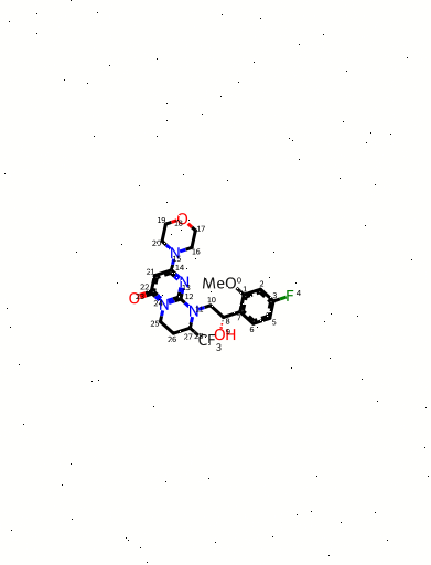 COc1cc(F)ccc1[C@H](O)CN1c2nc(N3CCOCC3)cc(=O)n2CCC1C(F)(F)F